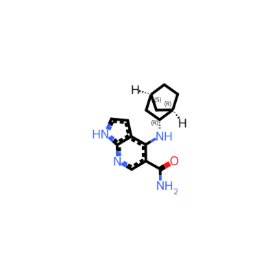 NC(=O)c1cnc2[nH]ccc2c1N[C@@H]1C[C@H]2CC[C@@H]1C2